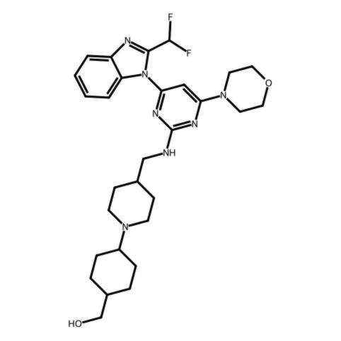 OCC1CCC(N2CCC(CNc3nc(N4CCOCC4)cc(-n4c(C(F)F)nc5ccccc54)n3)CC2)CC1